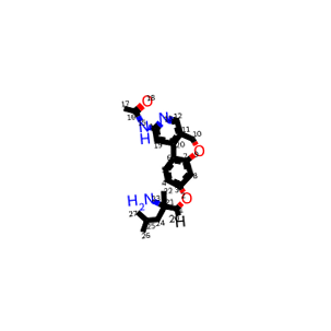 [2H]C(Oc1ccc2c(c1)OCc1cnc(NC(C)=O)cc1-2)C(C)(N)CC(C)C